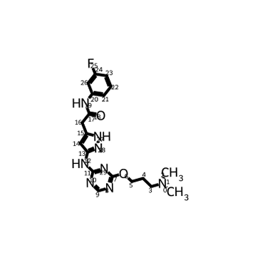 CN(C)CCCOc1ncnc(Nc2cc(CC(=O)Nc3cccc(F)c3)[nH]n2)n1